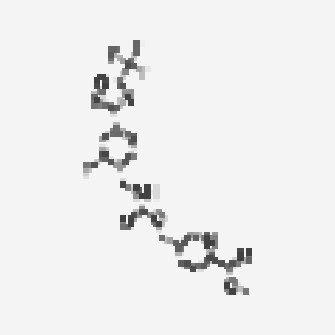 COC(=O)c1ccc(COC(=O)NCc2ccc(-c3noc(C(F)(F)F)n3)cc2F)cn1